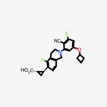 N#Cc1c(F)cc(OC2CCC2)cc1N1CCc2c(ccc([C@H]3C[C@@H]3C(=O)O)c2F)C1